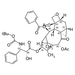 CC(=O)O[C@H]1C(=O)[C@]23C[C@H]2C[C@H]2OC[C@@]2(OC(C)=O)[C@H]3[C@H](OC(=O)c2ccccc2)C2C[C@H](OC(=O)[C@H](O)[C@@H](NC(=O)OC(C)(C)C)c3ccccc3)C(C)=C1C2(C)C